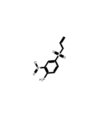 C=CCS(=O)(=O)c1ccc(N)c([N+](=O)[O-])c1